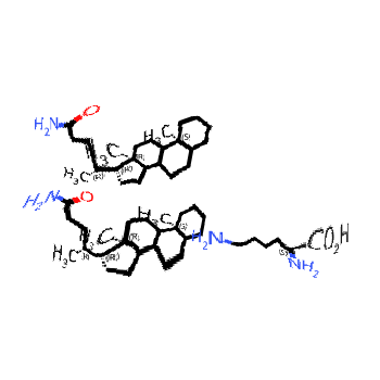 C[C@H](CCC(N)=O)[C@H]1CCC2C3CCC4CCCC[C@]4(C)C3CC[C@@]21C.C[C@H](CCC(N)=O)[C@H]1CCC2C3CCC4CCCC[C@]4(C)C3CC[C@@]21C.NCCCC[C@H](N)C(=O)O